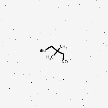 CCC(C)CC(C)(C)CN=O